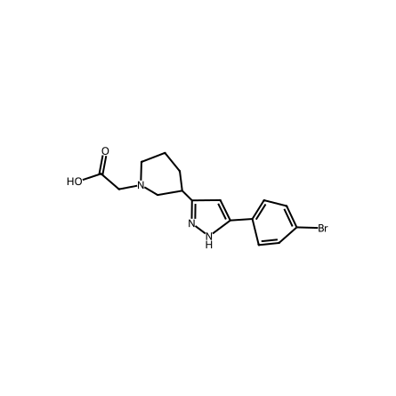 O=C(O)CN1CCCC(c2cc(-c3ccc(Br)cc3)[nH]n2)C1